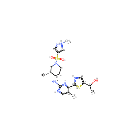 C[C@@H]1CN(S(=O)(=O)c2cnn(C)c2)CC[C@@H]1Nc1ncc(C(F)(F)F)c(-c2ncc(C(O)C(F)(F)F)s2)n1